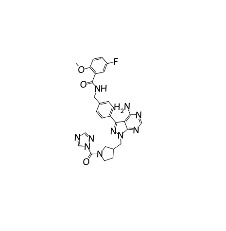 COc1ccc(F)cc1C(=O)NCc1ccc(-c2nn(CC3CCN(C(=O)n4cncn4)C3)c3ncnc(N)c23)cc1